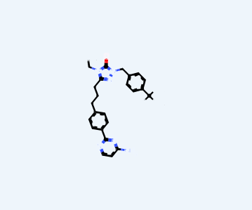 CCn1c(CCCc2ccc(-c3nccc(N)n3)cc2)nn(Cc2ccc(C(C)(C)C)cc2)c1=O